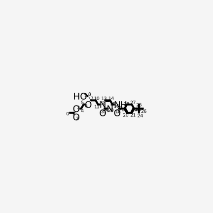 CC(=O)OCCO[C@H](CO)CCn1ccc(NC(=O)C2=CC=C(C(C)(C)C)CC2)nc1=O